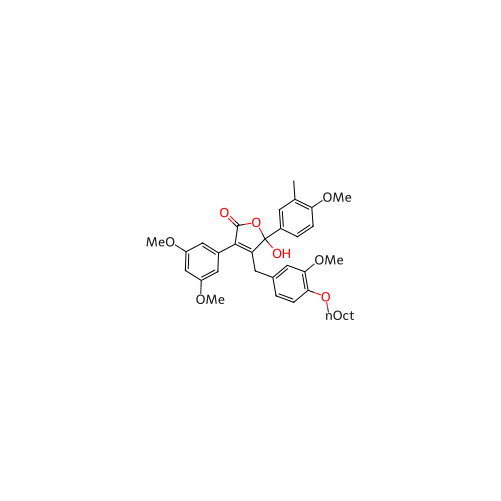 CCCCCCCCOc1ccc(CC2=C(c3cc(OC)cc(OC)c3)C(=O)OC2(O)c2ccc(OC)c(C)c2)cc1OC